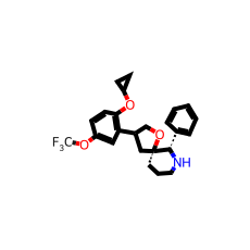 FC(F)(F)Oc1ccc(OC2CC2)c(C2CO[C@]3(CCCN[C@H]3c3ccccc3)C2)c1